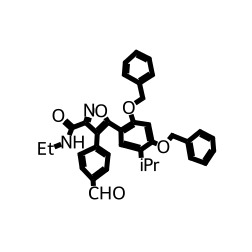 CCNC(=O)c1noc(-c2cc(C(C)C)c(OCc3ccccc3)cc2OCc2ccccc2)c1-c1ccc(C=O)cc1